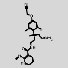 C=NC1=C(C(=O)NCCC(C)(CCN)c2c(C)cc(OCC#N)cc2F)CCCN1